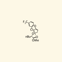 CCCCC(OC1(C)CC=C(Oc2ccc(C(F)(F)F)cc2Cl)S1)C(=O)OC